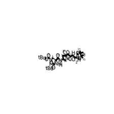 CC(C)(C)OC(=O)NC[C@H](NC(=O)OC(C)(C)C)C(=O)N[C@H]1CN(C(=O)O)[C@@](CCCCB2OC(C)(C)C(C)(C)O2)(C(=O)O)C1